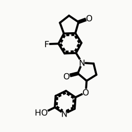 O=C1CCc2c(F)cc(N3CCC(Oc4ccc(O)nc4)C3=O)cc21